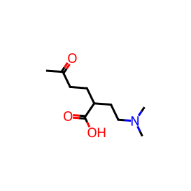 CC(=O)CCC(CCN(C)C)C(=O)O